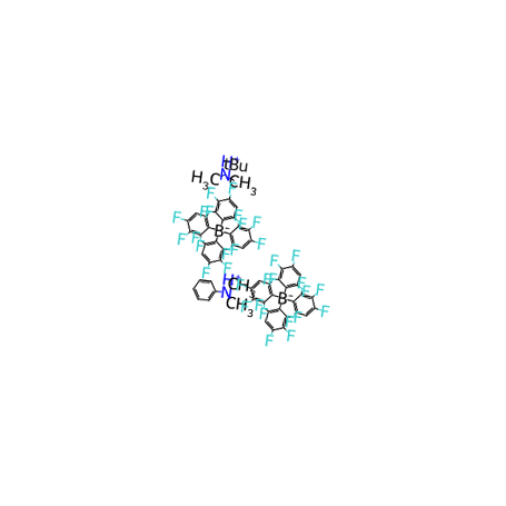 C[NH+](C)C(C)(C)C.C[NH+](C)c1ccccc1.Fc1cc(F)c([B-](c2c(F)cc(F)c(F)c2F)(c2c(F)cc(F)c(F)c2F)c2c(F)cc(F)c(F)c2F)c(F)c1F.Fc1cc(F)c([B-](c2c(F)cc(F)c(F)c2F)(c2c(F)cc(F)c(F)c2F)c2c(F)cc(F)c(F)c2F)c(F)c1F